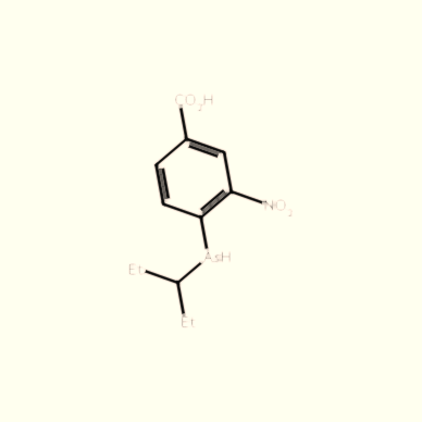 CCC(CC)[AsH]c1ccc(C(=O)O)cc1[N+](=O)[O-]